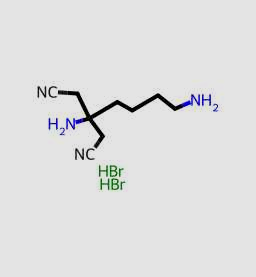 Br.Br.N#CCC(N)(CC#N)CCCCN